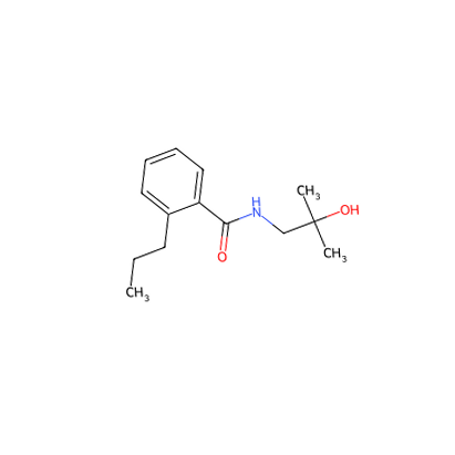 CCCc1ccccc1C(=O)NCC(C)(C)O